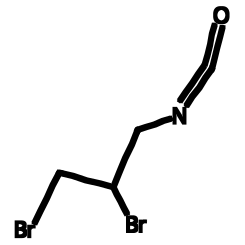 O=C=NCC(Br)CBr